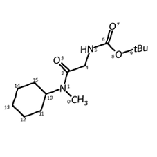 CN(C(=O)CNC(=O)OC(C)(C)C)C1CCCCC1